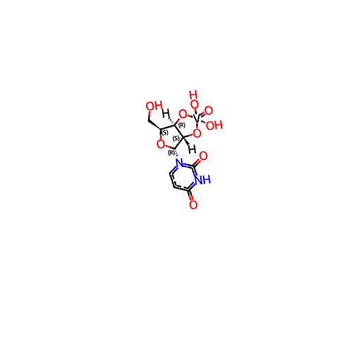 O=c1ccn([C@@H]2O[C@@H](CO)[C@H]3[O][V](=[O])([OH])([OH])[O][C@@H]32)c(=O)[nH]1